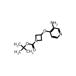 CC(C)(C)OC(=O)N1CC(Oc2ccncc2N)C1